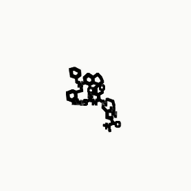 CSc1nc2c(c(N3CCCn4nc(C(=O)N(C)C)cc4C3)n1)COC1(CCCc3ccc(N(Cc4ccccc4)Cc4ccccc4)c(C#N)c31)C2